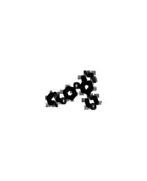 c1cnc(O[C@H]2CC[C@@H](Oc3cc(N4CCOCC4)cc4ncncc34)CC2)nc1